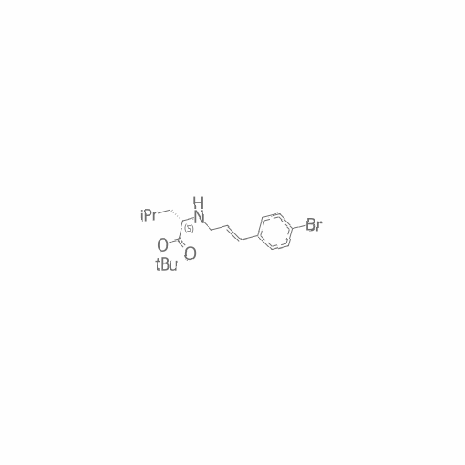 CC(C)C[C@H](NCC=Cc1ccc(Br)cc1)C(=O)OC(C)(C)C